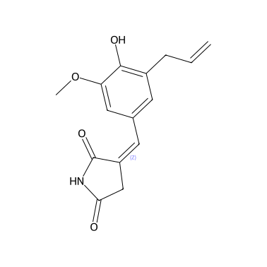 C=CCc1cc(/C=C2/CC(=O)NC2=O)cc(OC)c1O